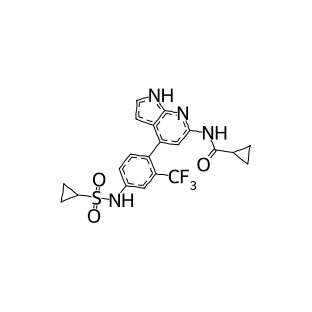 O=C(Nc1cc(-c2ccc(NS(=O)(=O)C3CC3)cc2C(F)(F)F)c2cc[nH]c2n1)C1CC1